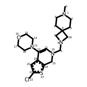 CN1CCC2(CC1)CN(CN1C=C(N3CCOCC3)c3cc(Cl)sc3C1)C2